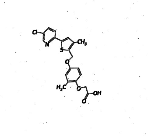 Cc1cc(OCc2sc(-c3ccc(Cl)cn3)cc2C)ccc1OCC(=O)O